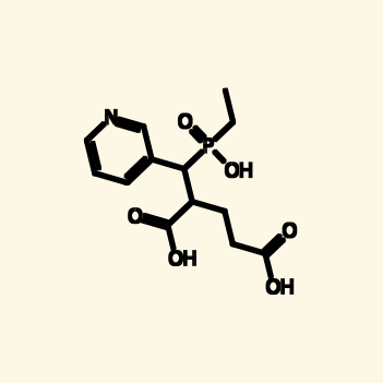 CCP(=O)(O)C(c1cccnc1)C(CCC(=O)O)C(=O)O